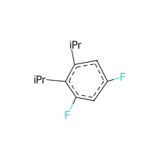 CC(C)c1cc(F)cc(F)c1C(C)C